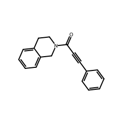 O=C(C#Cc1ccccc1)N1CCc2ccccc2C1